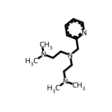 CN(C)CCN(CCN(C)C)Cc1ccccn1